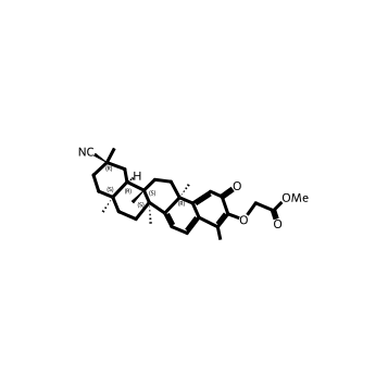 COC(=O)COC1=C(C)C2=CC=C3[C@@](C)(CC[C@@]4(C)[C@@H]5C[C@](C)(C#N)CC[C@]5(C)CC[C@]34C)C2=CC1=O